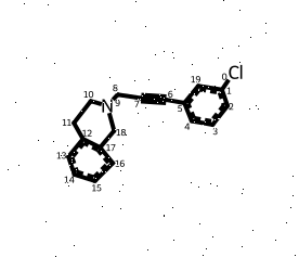 Clc1cccc(C#CCN2CCc3ccccc3C2)c1